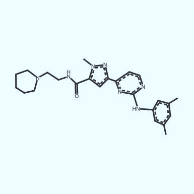 Cc1cc(C)cc(Nc2nccc(-c3cc(C(=O)NCCN4CCCCC4)n(C)n3)n2)c1